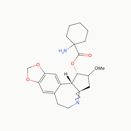 COC1C[C@]23CCCN2CCc2cc4c(cc2[C@@H]3[C@@H]1OC(=O)C1(N)CCCCC1)OCO4